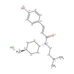 CN(C)CCN(C(=O)C=Cc1ccc(O)cc1)[C@H]1CC[C@H](C)CC1.Cl